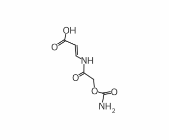 NC(=O)OCC(=O)NC=CC(=O)O